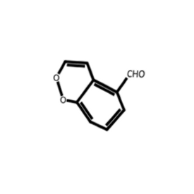 O=Cc1cccc2c1C=COO2